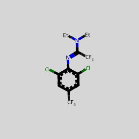 CCN(CC)C(=Nc1c(Cl)cc(C(F)(F)F)cc1Cl)C(F)(F)F